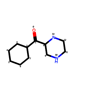 O=C(C1CCCCC1)C1CNCC[N]1